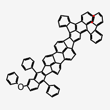 c1ccc(Oc2ccc3c(-c4ccccc4)c4c(c(-c5ccccc5)c3c2)-c2ccc3c5ccc6c7c(ccc(c8ccc-4c2c83)c57)c2cc3c(-c4ccccc4-c4ccccc4)c4ccccc4c4c5ccccc5c(c26)c34)cc1